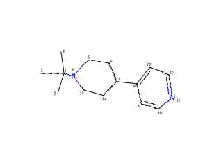 CC(C)(C)N1CCC(c2ccncc2)CC1